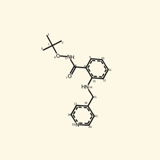 CC(C)(C)ONC(=O)c1ccccc1NCc1ccncc1